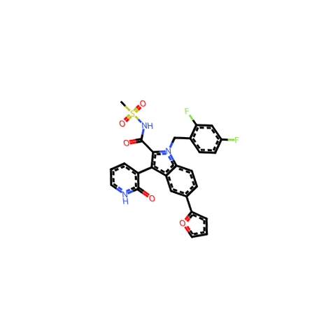 CS(=O)(=O)NC(=O)c1c(-c2ccc[nH]c2=O)c2cc(-c3ccco3)ccc2n1Cc1ccc(F)cc1F